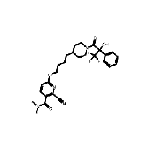 CN(C)C(=O)c1ccc(OCCCCC2CCN(C(=O)C(O)(c3ccccc3)C(F)(F)F)CC2)nc1C#N